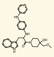 COCC1(O)CCN(C(=O)C(Cc2c[nH]c3ccccc23)Nc2ccc(Nc3ccncc3)cc2)CC1